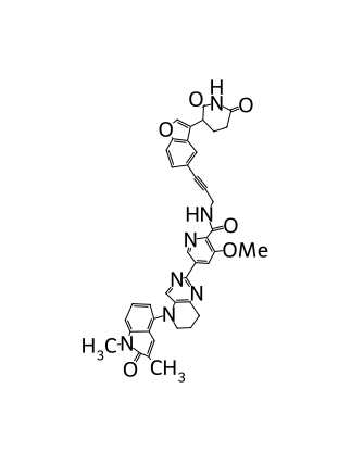 COc1cc(-c2ncc3c(n2)CCCN3c2cccc3c2cc(C)c(=O)n3C)cnc1C(=O)NCC#Cc1ccc2occ(C3CCC(=O)NC3=O)c2c1